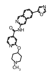 CN1CCC(Oc2cc(C(=O)Nc3cc4cc(-c5cnco5)ccc4cn3)ccn2)CC1